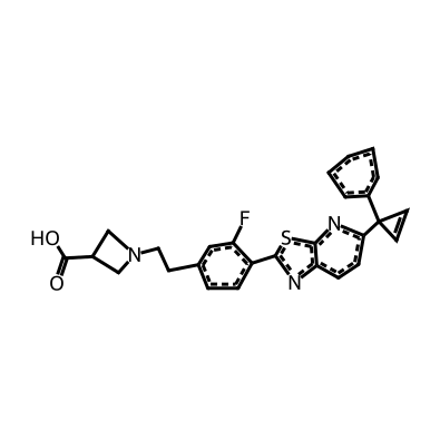 O=C(O)C1CN(CCc2ccc(-c3nc4ccc(C5(c6ccccc6)C=C5)nc4s3)c(F)c2)C1